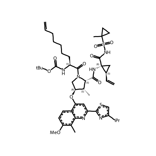 C=CCCCCC[C@H](NC(=O)OC(C)(C)C)C(=O)N1C[C@H](Oc2cc(-c3nc(C(C)C)cs3)nc3c(C)c(OC)ccc23)[C@@H](C)[C@H]1C(=O)N[C@]1(C(=O)NS(=O)(=O)C2(C)CC2)C[C@H]1C=C